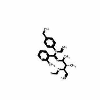 CC(/N=C(/c1cccnc1N)N(C=N)c1ccc(CO)cc1)[C@H](C)C(C=N)OCF